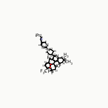 CC(C)/C=C/c1cnc(N2CCC(c3nc4c(c(C5CCC(F)(F)CC5)c3[C@@H](F)c3ccc(C(F)(F)F)cc3)[C@@H](O)CC(C)(C)C4)CC2)nc1